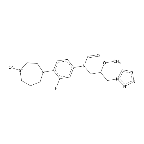 COC(CN(C=O)c1ccc(N2CCC[S+]([O-])CC2)c(F)c1)Cn1ccnn1